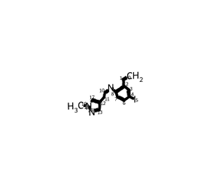 C=Cc1cc(I)ccc1/N=C\Cc1cnn(C)c1